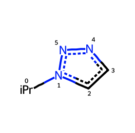 CC(C)n1ccnn1